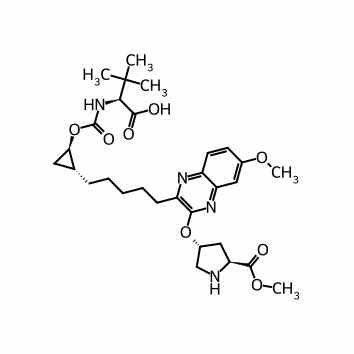 COC(=O)[C@@H]1C[C@@H](Oc2nc3cc(OC)ccc3nc2CCCCC[C@@H]2C[C@H]2OC(=O)N[C@H](C(=O)O)C(C)(C)C)CN1